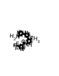 Cc1ccc(NC(=O)c2cc(C(F)(F)F)cnn2)cc1-c1ccnc(-c2ccnc(N)c2)c1